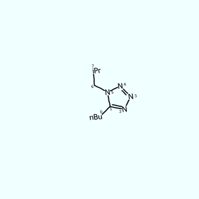 CCCCc1nnnn1CC(C)C